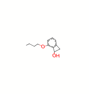 CCCCOc1cccc2c1[C@H](O)C2